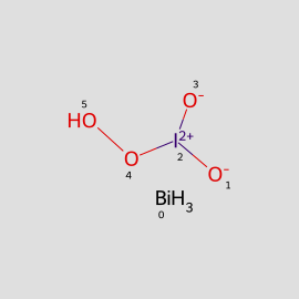 [BiH3].[O-][I+2]([O-])OO